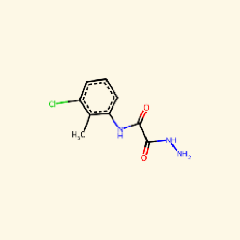 Cc1c(Cl)cccc1NC(=O)C(=O)NN